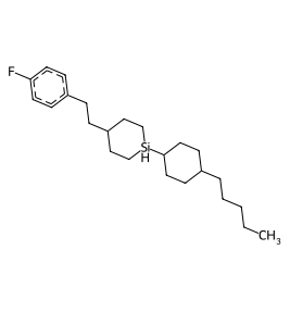 CCCCCC1CCC([SiH]2CCC(CCc3ccc(F)cc3)CC2)CC1